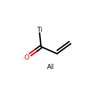 C=C[C](=O)[Ti].[Al]